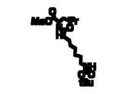 COC(=O)C(CC(C)C)NC(=O)CCCCCCCNC(=O)OC(C)(C)C